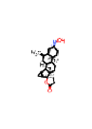 C=C1CC2C(CC[C@@]3(CC)C2C2CC2[C@@]32CCC(=O)O2)[C@H]2CC/C(=N\O)C=C12